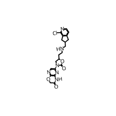 O=C1COc2ncc(N3CC(CCNCC4Cc5ccnc(Cl)c5C4)OC3=O)nc2N1